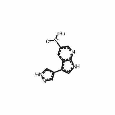 CCCC[S+]([O-])c1cnc2[nH]cc(-c3cn[nH]c3)c2c1